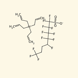 C=CC[N+](CC=C)(CC=C)CC=C.O=S(=O)([O-])C(F)(F)C(F)(F)C(F)(F)C(F)(F)C(F)CCC(F)(F)F